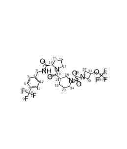 O=C(NCc1ccc(C(F)(F)F)cc1)[C@H]1CCCN1C(=O)C1CCCN(S(=O)(=O)N2CC(OC(F)(F)F)C2)C1